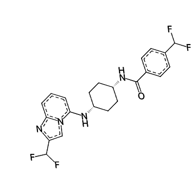 O=C(N[C@H]1CC[C@@H](Nc2cccc3nc(C(F)F)cn23)CC1)c1ccc(C(F)F)cc1